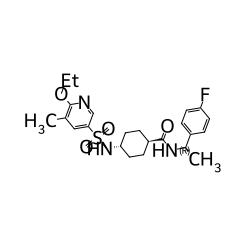 CCOc1ncc(S(=O)(=O)N[C@H]2CC[C@H](C(=O)N[C@H](C)c3ccc(F)cc3)CC2)cc1C